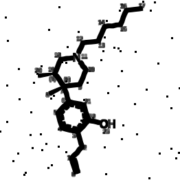 C=CCc1ccc([C@@]2(C)CCN(CCCCCC)C[C@@H]2C)cc1O